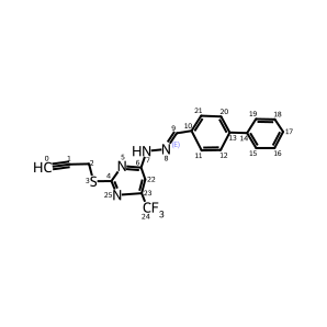 C#CCSc1nc(N/N=C/c2ccc(-c3ccccc3)cc2)cc(C(F)(F)F)n1